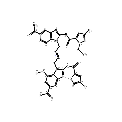 CCn1nc(C)cc1C(=O)Nc1nc2cc(C(N)=O)cnc2n1C/C=C/Cn1c(NC(=O)c2cc(C)no2)nc2cc(C(N)=O)cc(OC)c21